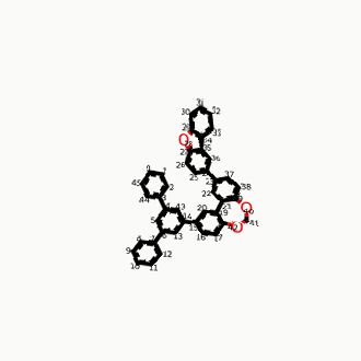 c1ccc(-c2cc(-c3ccccc3)cc(-c3ccc4c(c3)-c3cc(-c5ccc6oc7ccccc7c6c5)ccc3OCO4)c2)cc1